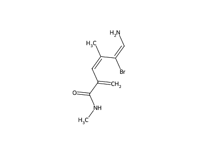 C=C(/C=C(C)\C(Br)=C/N)C(=O)NC